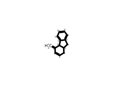 C=C1C=CCC2Cc3ccccc3C12